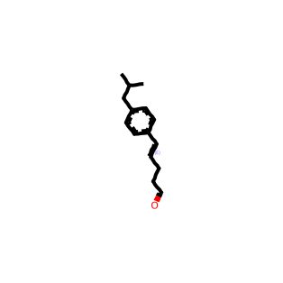 CC(C)Cc1ccc(/C=C/CCC=O)cc1